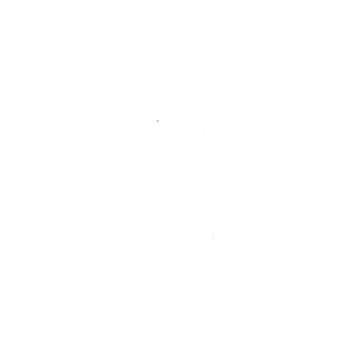 CC1Cc2cc(C(C)C(=O)O)sc2C1